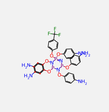 Nc1ccc(ON2P(Oc3ccc(N)cc3)N=P(Oc3ccc(N)cc3)(Oc3ccc(C(F)(F)F)cc3)N(Oc3ccc(N)cc3)P2Oc2ccc(N)cc2)cc1